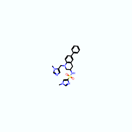 Cn1cnc(S(=O)(=O)NC2Cc3cc(-c4ccccc4)ccc3N(Cc3cncn3C)C2)c1